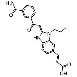 CCCN1/C(=C/C(=O)c2cccc(C(N)=O)c2)Nc2ccc(/C=C/C(=O)O)cc21